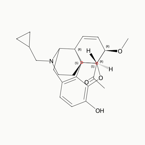 CO[C@]12C=C[C@@]3(C[C@@H]1C(C)=O)C1Cc4ccc(O)c5c4[C@@]3(CCN1CC1CC1)[C@H]2O5